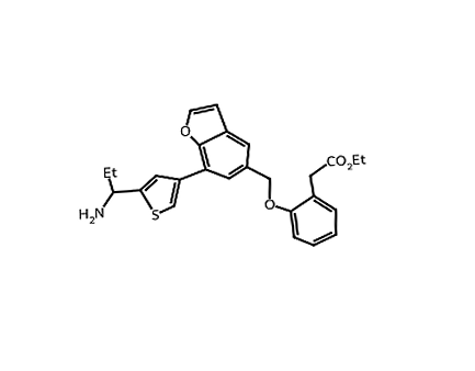 CCOC(=O)Cc1ccccc1OCc1cc(-c2csc(C(N)CC)c2)c2occc2c1